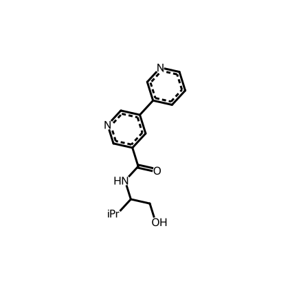 CC(C)C(CO)NC(=O)c1cncc(-c2cccnc2)c1